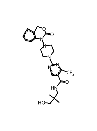 CC(C)(CO)CNC(=O)c1cnc(N2CCN(N3C(=O)OCc4ccccc43)CC2)nc1C(F)(F)F